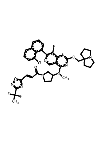 CN(c1nc(OCC23CCCN2CCC3)nc2c(F)c(-c3cccc4cccc(Cl)c34)ncc12)C1CCN(C(=O)/C=C/c2nc(C(C)(F)F)no2)C1